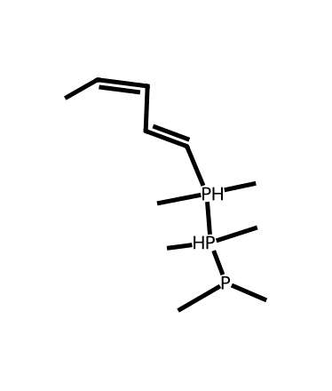 C/C=C\C=C[PH](C)(C)[PH](C)(C)P(C)C